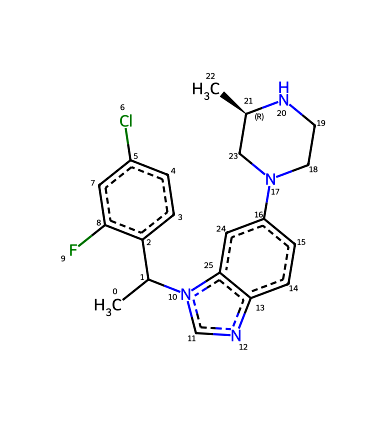 CC(c1ccc(Cl)cc1F)n1cnc2ccc(N3CCN[C@H](C)C3)cc21